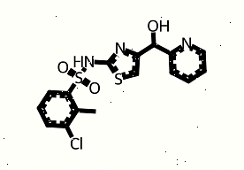 Cc1c(Cl)cccc1S(=O)(=O)Nc1nc(C(O)c2ccccn2)cs1